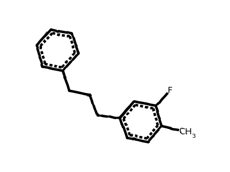 Cc1ccc(CCCc2ccccc2)cc1F